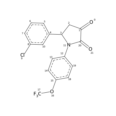 O=C1CC(c2cccc(Cl)c2)N(c2ccc(OC(F)(F)F)cc2)C1=O